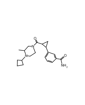 CC1CN(C(=O)C2CC2c2cccc(C(N)=O)c2)CCN1C1CCC1